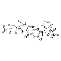 Cc1cc(Nc2ncc(Cl)c(Nc3ccccc3S(=O)(=O)N(C)C)n2)c(OC(C)C)cc1[C@H]1CC[C@@H](N(C)C)CC1